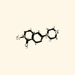 CCN1CCC2=C(CCC(N3CCOCC3)=C2)C1=O